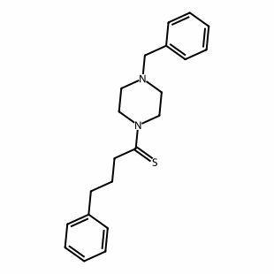 S=C(CCCc1ccccc1)N1CCN(Cc2ccccc2)CC1